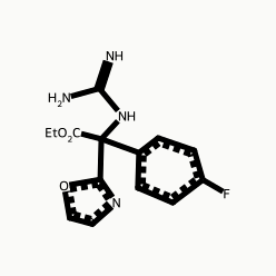 CCOC(=O)C(NC(=N)N)(c1ccc(F)cc1)c1ncco1